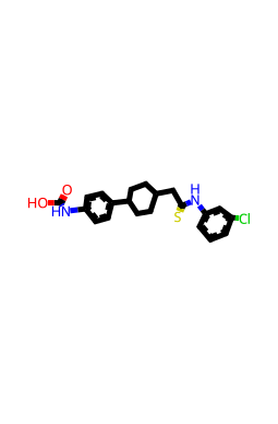 O=C(O)Nc1ccc(C2CCC(CC(=S)Nc3cccc(Cl)c3)CC2)cc1